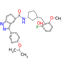 COc1cccc(F)c1C[C@]1(O)CCC[C@@H](NC(=O)c2ccc3[nH]nc(-c4ccc(OC(C)C)cc4)c3c2)C1